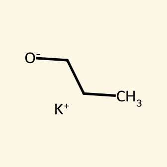 CCC[O-].[K+]